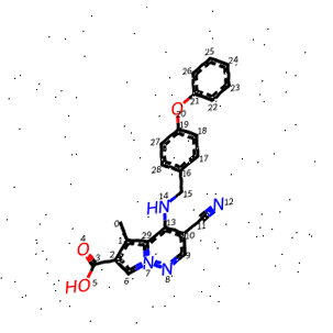 Cc1c(C(=O)O)cn2ncc(C#N)c(NCc3ccc(Oc4ccccc4)cc3)c12